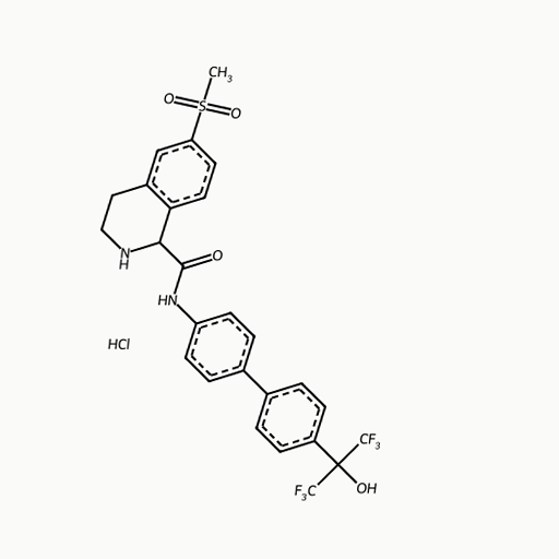 CS(=O)(=O)c1ccc2c(c1)CCNC2C(=O)Nc1ccc(-c2ccc(C(O)(C(F)(F)F)C(F)(F)F)cc2)cc1.Cl